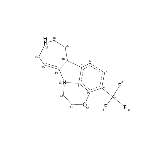 FC(F)(F)c1ccc2c3c1OCCN3C1=CCNCCC12